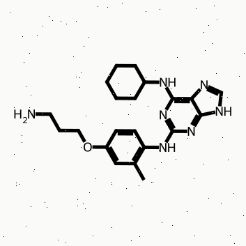 Cc1cc(OCCCN)ccc1Nc1nc(NC2CCCCC2)c2nc[nH]c2n1